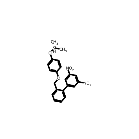 C[SiH](C)Oc1ccc(OCc2ccccc2-c2cc([N+](=O)[O-])cc([N+](=O)[O-])c2)cc1